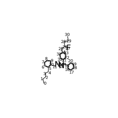 CCCCCc1ccccc1C=NN=C(c1ccccc1)c1ccc(CC(F)CCC)cc1